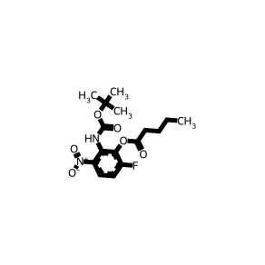 CCCCC(=O)Oc1c(F)ccc([N+](=O)[O-])c1NC(=O)OC(C)(C)C